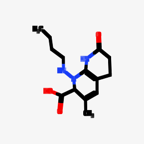 CCCCNN1C2=C(C=C(C)C1C(=O)O)CCC(=O)N2